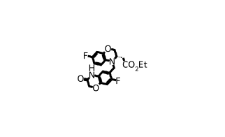 CCOC(=O)C[C@H]1COc2cc(F)ccc2N1Cc1cc2c(cc1F)OCC(=O)N2